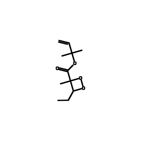 C=CC(C)(C)OC(=O)C1(C)OOC1CC